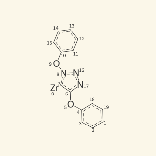 [Zr].c1ccc(Oc2cn(Oc3ccccc3)nn2)cc1